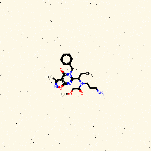 CCC(c1nc2onc(C)c2c(=O)n1Cc1ccccc1)N(CCCN)C(=O)COC